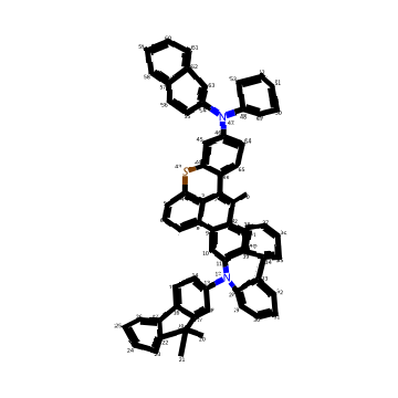 Cc1c2c3c(cccc3c3cc(N(c4ccc5c(c4)C(C)(C)c4ccccc4-5)c4ccccc4-c4ccccc4)ccc13)Sc1cc(N(c3ccccc3)c3ccc4ccccc4c3)ccc1-2